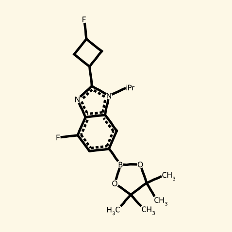 CC(C)n1c(C2CC(F)C2)nc2c(F)cc(B3OC(C)(C)C(C)(C)O3)cc21